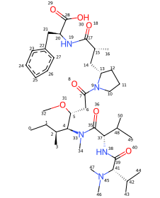 CC[C@H](C)[C@@H]([C@@H](CC(=O)N1CCC[C@H]1C[C@@H](C)C(=O)N[C@@H](Cc1ccccc1)C(=O)O)OC)N(C)C(=O)[C@@H](NC(=O)[C@H](C(C)C)N(C)C)C(C)C